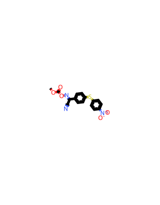 COC(=O)O/N=C(\C#N)c1ccc(Sc2ccc([N+](=O)[O-])cc2)cc1